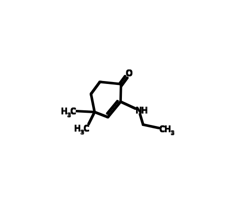 CCNC1=CC(C)(C)CCC1=O